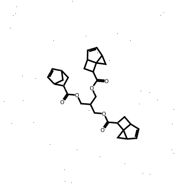 O=C(OCC(COC(=O)C1CC2C=CC3CC231)COC(=O)C1CC2C=CC3CC231)C1CC2C=CC1C2